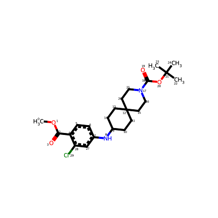 COC(=O)c1ccc(NC2CCC3(CC2)CCN(C(=O)OC(C)(C)C)CC3)cc1Cl